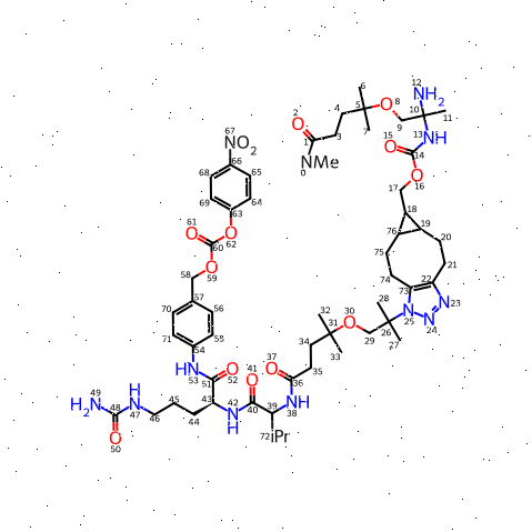 CNC(=O)CCC(C)(C)OCC(C)(N)NC(=O)OCC1C2CCc3nnn(C(C)(C)COC(C)(C)CCC(=O)NC(C(=O)N[C@@H](CCCNC(N)=O)C(=O)Nc4ccc(COC(=O)Oc5ccc([N+](=O)[O-])cc5)cc4)C(C)C)c3CCC21